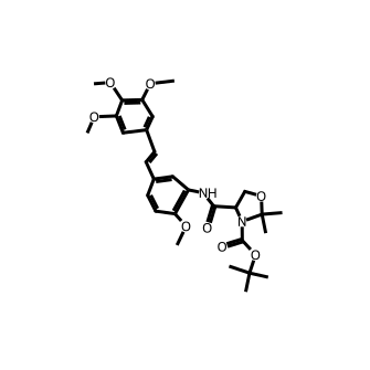 COc1ccc(C=Cc2cc(OC)c(OC)c(OC)c2)cc1NC(=O)C1COC(C)(C)N1C(=O)OC(C)(C)C